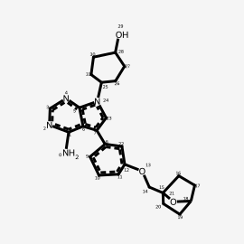 Nc1ncnc2c1c(-c1cccc(OCC34CCC(CC3)O4)c1)cn2C1CCC(O)CC1